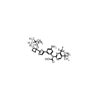 CC(C)(C)c1cnc(N(C(=O)O)c2cc(N)cc(-c3cnc(C4(O[Si](C)(C)C(C)(C)C)CCC4)s3)c2)nc1C(F)(F)F